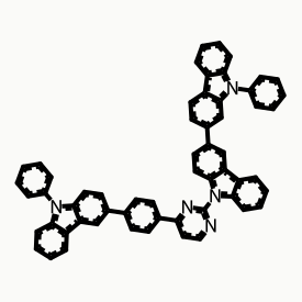 c1ccc(-n2c3ccccc3c3cc(-c4ccc(-c5ccnc(-n6c7ccccc7c7cc(-c8ccc9c%10ccccc%10n(-c%10ccccc%10)c9c8)ccc76)n5)cc4)ccc32)cc1